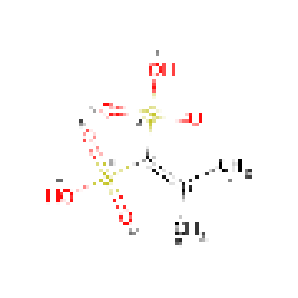 CC(C)=C(S(=O)(=O)O)S(=O)(=O)O